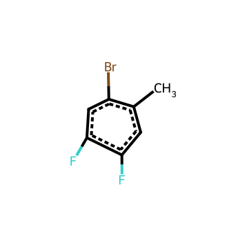 Cc1cc(F)c(F)cc1Br